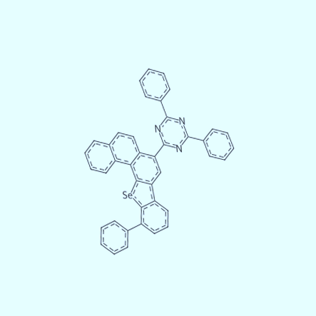 c1ccc(-c2nc(-c3ccccc3)nc(-c3cc4c5cccc(-c6ccccc6)c5[se]c4c4c3ccc3ccccc34)n2)cc1